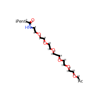 CCCC(C)C(=O)NCCOCCOCCOCCOCCOCCOCC(C)=O